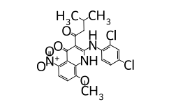 COc1ccc([N+](=O)[O-])c2c(=O)c(C(=O)CC(C)C)c(Nc3ccc(Cl)cc3Cl)[nH]c12